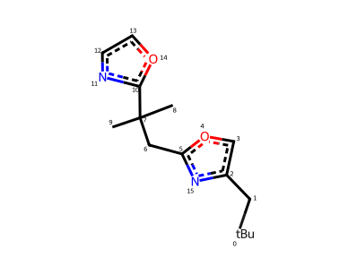 CC(C)(C)Cc1coc(CC(C)(C)c2ncco2)n1